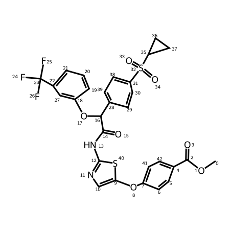 COC(=O)c1ccc(Oc2cnc(NC(=O)C(Oc3cccc(C(F)(F)F)c3)c3ccc(S(=O)(=O)C4CC4)cc3)s2)cc1